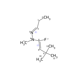 CC/C=N/N(C)/C(F)=C/C(C)(C)C